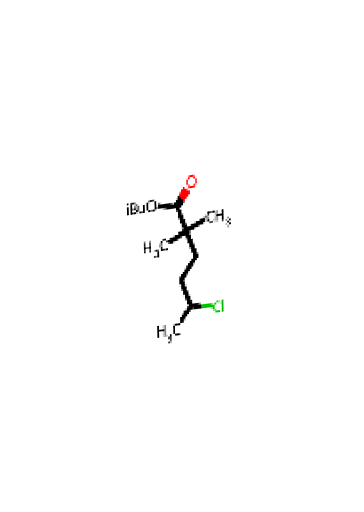 CC(C)COC(=O)C(C)(C)CCC(C)Cl